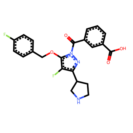 O=C(O)c1cccc(C(=O)n2nc(C3CCNC3)c(F)c2OCc2ccc(F)cc2)c1